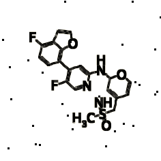 CS(=N)(=O)CC1=CC(Nc2cc(-c3ccc(F)c4ccoc34)c(F)cn2)OC=C1